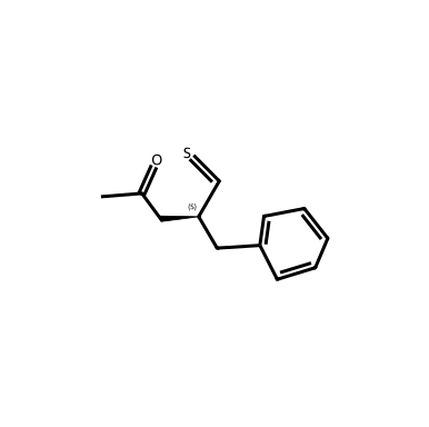 CC(=O)C[C@@H](C=S)Cc1ccccc1